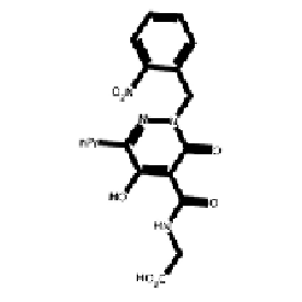 CCCc1nn(Cc2ccccc2[N+](=O)[O-])c(=O)c(C(=O)NCC(=O)O)c1O